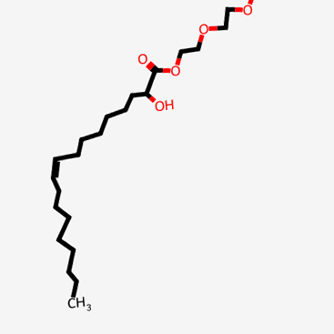 CCCCCCCC/C=C\CCCCCCC(O)C(=O)OCCOCCOCC